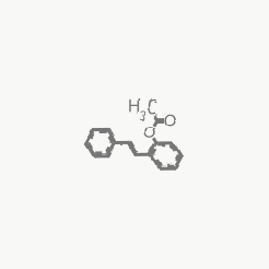 CC(=O)Oc1ccccc1C=Cc1ccccc1